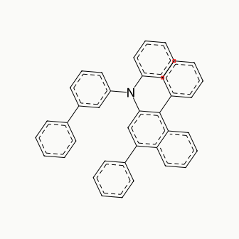 c1ccc(-c2cccc(N(c3ccccc3)c3cc(-c4ccccc4)c4ccccc4c3-c3ccccc3)c2)cc1